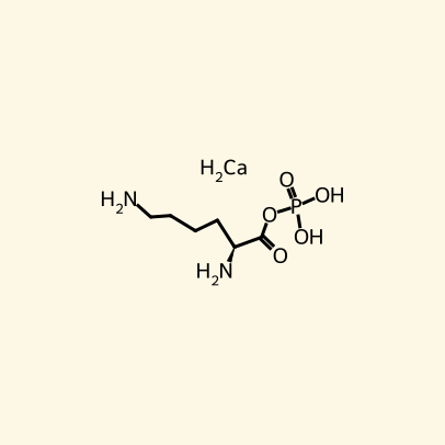 NCCCC[C@H](N)C(=O)OP(=O)(O)O.[CaH2]